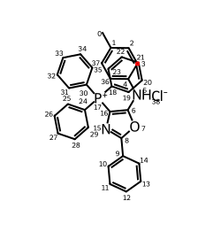 Cc1ccc(Nc2oc(-c3ccccc3)nc2[P+](c2ccccc2)(c2ccccc2)c2ccccc2)cc1.[Cl-]